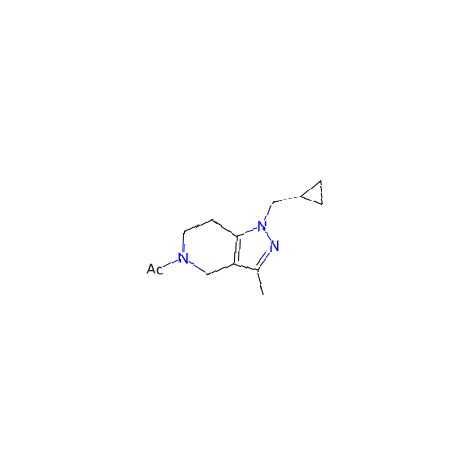 CC(=O)N1CCc2c(c(C)nn2CC2CC2)C1